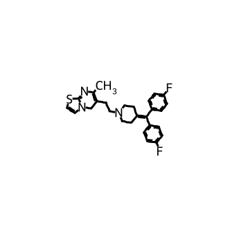 CC1=C(CCN2CCC(=C(c3ccc(F)cc3)c3ccc(F)cc3)CC2)CN2C=CSC2=N1